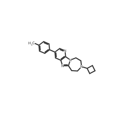 Cc1ccc(-c2cnc3c(c2)nc2n3CCN(C3CCC3)CC2)cc1